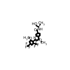 CC[C@H](CO)NC(=O)c1ccc2c(OC)cc(-c3c(OC)cc(C(F)(F)F)cc3C(F)(F)F)nc2c1